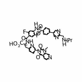 CC(C)NCc1ncc(-c2ccc(S(=O)(=O)Nc3cc(F)c(C(=O)N[C@@H](Cc4ccc(-n5c(=O)c6ccncc6n(C)c5=O)cn4)C(=O)O)cc3F)cc2)cn1